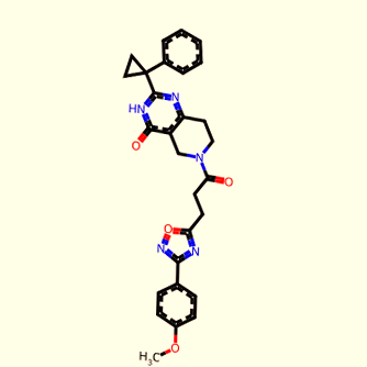 COc1ccc(-c2noc(CCC(=O)N3CCc4nc(C5(c6ccccc6)CC5)[nH]c(=O)c4C3)n2)cc1